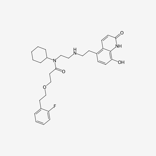 O=C(CCOCCc1ccccc1F)N(CCNCCc1ccc(O)c2[nH]c(=O)ccc12)C1CCCCC1